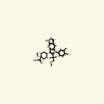 COCC(C)(C)c1c([C@H]2CC[C@](OC)(C(=O)O)CC2)c2nc3[nH]ncc3cc2n1-c1ccc(F)c(C)c1